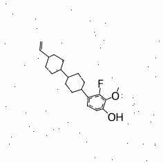 C=CC1CCC(C2CCC(c3ccc(O)c(OC)c3F)CC2)CC1